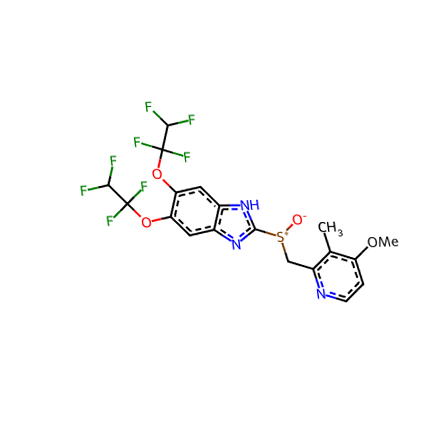 COc1ccnc(C[S+]([O-])c2nc3cc(OC(F)(F)C(F)F)c(OC(F)(F)C(F)F)cc3[nH]2)c1C